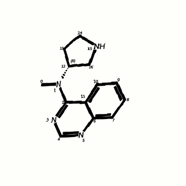 CN(c1ncnc2ccccc12)[C@@H]1CCNC1